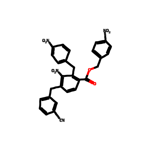 N#Cc1cccc(Cc2ccc(C(=O)OCc3ccc([N+](=O)[O-])cc3)c(Cc3ccc([N+](=O)[O-])cc3)c2[N+](=O)[O-])c1